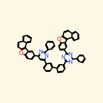 c1ccc(-c2nc(-c3cccc(-c4cccc(-c5nc(-c6ccccc6)nc(-c6ccc7oc8ccc9ccccc9c8c7c6)n5)c4)c3)cc(-c3ccc4oc5ccc6ccccc6c5c4c3)n2)cc1